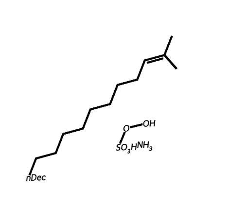 CCCCCCCCCCCCCCCCCCC=C(C)C.N.O=S(=O)(O)OO